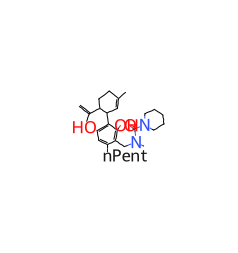 C=C(C)C1CCC(C)=CC1c1c(O)cc(CCCCC)c(CN(C)C(=O)N2CCCCC2)c1O